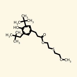 COCCSCCOC(=O)CCc1cc(CC(C)(C)C)c(O)c(C(C)(C)C)c1